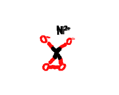 [Ni+2].[O-]C1([O-])OO1